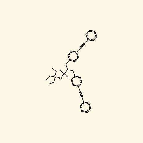 CC[Si](CC)(CC)OC(C)(C)C(Cc1ccc(C#Cc2ccccc2)cc1)Cc1ccc(C#Cc2ccccc2)cc1